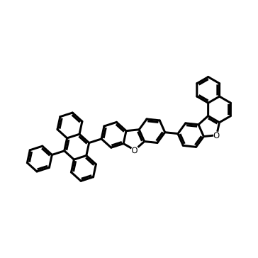 c1ccc(-c2c3ccccc3c(-c3ccc4c(c3)oc3cc(-c5ccc6oc7ccc8ccccc8c7c6c5)ccc34)c3ccccc23)cc1